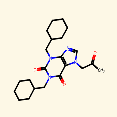 CC(=O)Cn1cnc2c1c(=O)n(CC1CCCCC1)c(=O)n2CC1CCCCC1